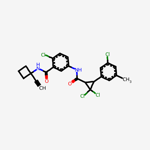 C#CC1(NC(=O)c2cc(NC(=O)C3C(c4cc(C)cc(Cl)c4)C3(Cl)Cl)ccc2Cl)CCC1